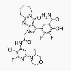 C[C@H]1COCCN1c1cc(NC(=O)Cn2cc(-c3cc(C(N)=O)c(O)c(F)c3F)c3c(=O)n4c(nc32)CCCCC4)c(Cl)c(F)n1